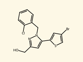 OCc1cc(-c2cc(Br)cs2)n(Cc2ccccc2Cl)n1